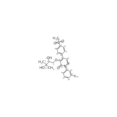 CC(C)(O)C(O)COc1c(-c2ccc(S(C)(=O)=O)cc2)cnn(-c2cccc(F)c2)c1=O